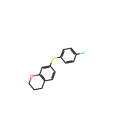 Fc1ccc(Sc2ccc3c(c2)OCCC3)cc1